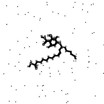 CCCCCC[C@@H](C/C=C\CCCCCCCC(=O)OC)Oc1cc(C)c(C(=O)OC)c(O)c1C